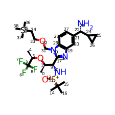 C[C@@H](O[C@H](C)C(F)(F)F)[C@H](N[S@+]([O-])C(C)(C)C)c1nc2cc([C@H](N)C3CC3)ccc2n1COCC[Si](C)(C)C